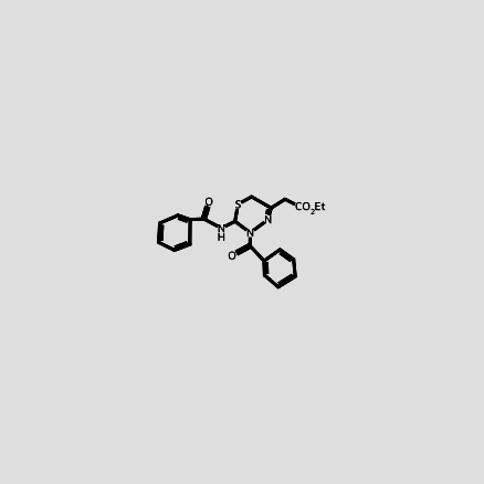 CCOC(=O)CC1=NN(C(=O)c2ccccc2)C(NC(=O)c2ccccc2)SC1